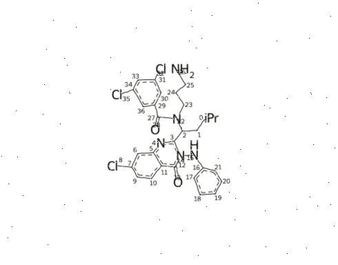 CC(C)CC(c1nc2cc(Cl)ccc2c(=O)n1Nc1ccccc1)N(CCCN)C(=O)c1cc(Cl)cc(Cl)c1